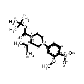 COc1cc(N2CCN(C(=O)OC(C)(C)C)[C@@H](C(C)C)C2)ccc1[N+](=O)[O-]